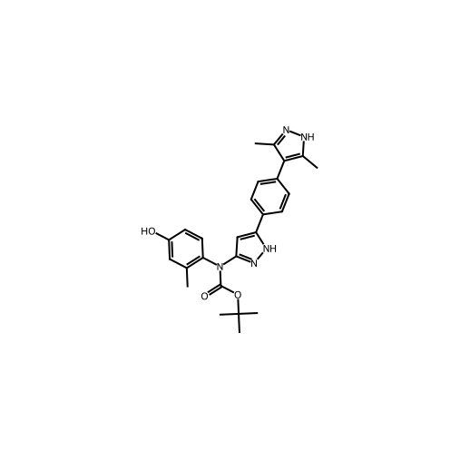 Cc1cc(O)ccc1N(C(=O)OC(C)(C)C)c1cc(-c2ccc(-c3c(C)n[nH]c3C)cc2)[nH]n1